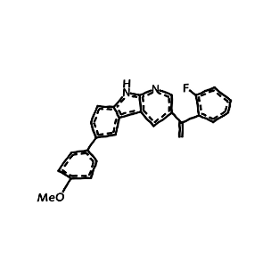 C=C(c1cnc2[nH]c3ccc(-c4ccc(OC)cc4)cc3c2c1)c1ccccc1F